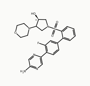 Nc1cnc(-c2ccc(-c3ccccc3S(=O)(=O)N3CC(N4CCOCC4)[C@@H](O)C3)cc2F)cn1